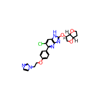 Clc1cc2[nH]c(O[C@@H]3CO[C@@H]4CCO[C@@H]43)nc2nc1-c1ccc(OCCn2ccnc2)cc1